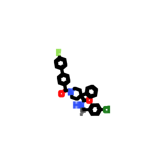 C[C@H](NC(=O)C1(c2ccccc2)CCN(C(=O)c2ccc(-c3ccc(F)cc3)cc2)CC1)c1ccc(Cl)cc1